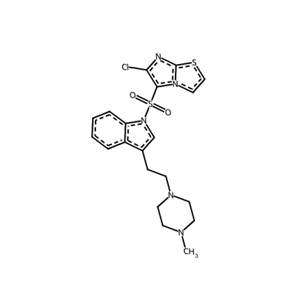 CN1CCN(CCc2cn(S(=O)(=O)c3c(Cl)nc4sccn34)c3ccccc23)CC1